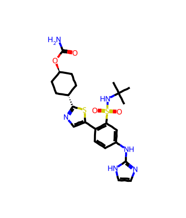 CC(C)(C)NS(=O)(=O)c1cc(Nc2ncc[nH]2)ccc1-c1cnc([C@H]2CC[C@H](OC(N)=O)CC2)s1